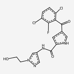 O=C(Nc1cnn(CCO)c1)c1cc(C(=O)c2c(Cl)ccc(Cl)c2F)c[nH]1